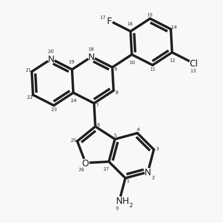 Nc1nccc2c(-c3cc(-c4cc(Cl)ccc4F)nc4ncccc34)coc12